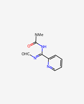 CNC(=O)N/C(=N\C=O)c1ccccn1